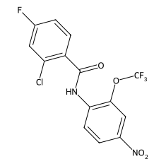 O=C(Nc1ccc([N+](=O)[O-])cc1OC(F)(F)F)c1ccc(F)cc1Cl